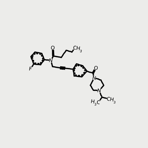 CCCCC(=O)N(CC#Cc1ccc(C(=O)N2CCN(C(C)C)CC2)cc1)c1cccc(F)c1